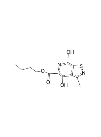 CCCCOC(=O)c1nc(O)c2snc(C)c2c1O